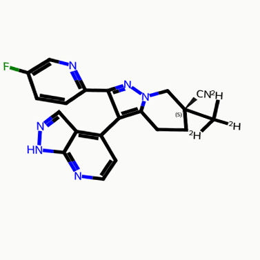 [2H]C([2H])([2H])[C@]1(C#N)CCc2c(-c3ccnc4[nH]ncc34)c(-c3ccc(F)cn3)nn2C1